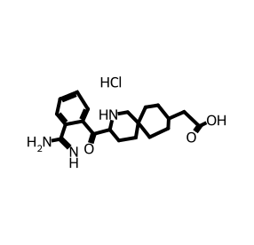 Cl.N=C(N)c1ccccc1C(=O)C1CCC2(CCC(CC(=O)O)CC2)CN1